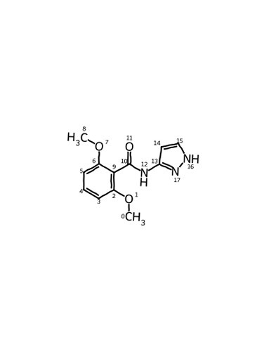 COc1cccc(OC)c1C(=O)Nc1cc[nH]n1